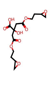 O=C(CC(O)(CC(=O)OCCC1CO1)C(=O)O)OCCC1CO1